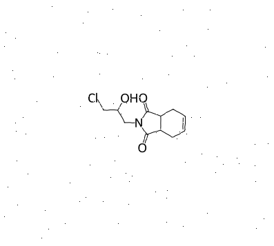 O=C1C2CC=CCC2C(=O)N1CC(O)CCl